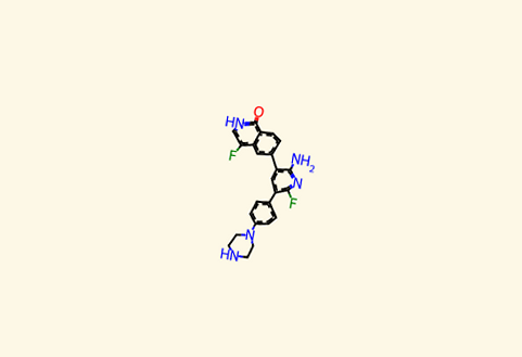 Nc1nc(F)c(-c2ccc(N3CCNCC3)cc2)cc1-c1ccc2c(=O)[nH]cc(F)c2c1